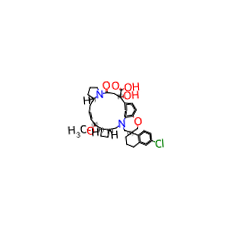 CO[C@H]1C=CC[C@@H]2CCCN2C(=O)C[C@](O)(C(=O)O)c2ccc3c(c2)N(C[C@@H]2CC[C@H]21)C[C@@]1(CCCc2cc(Cl)ccc21)CO3